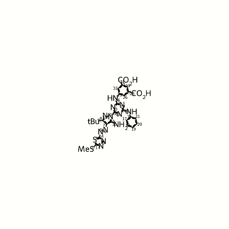 CSc1nnc(N=Nc2c(C(C)(C)C)nn(-c3nc(Nc4ccccc4)nc(Nc4cc(C(=O)O)cc(C(=O)O)c4)n3)c2N)s1